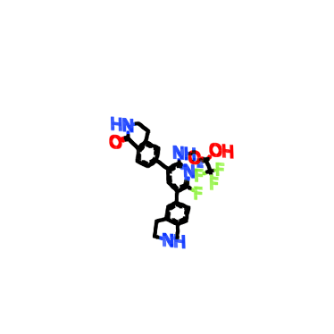 Nc1nc(F)c(-c2ccc3c(c2)CCNC3)cc1-c1ccc2c(c1)CCNC2=O.O=C(O)C(F)(F)F